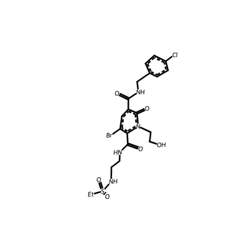 CCS(=O)(=O)NCCNC(=O)c1c(Br)cc(C(=O)NCc2ccc(Cl)cc2)c(=O)n1CCO